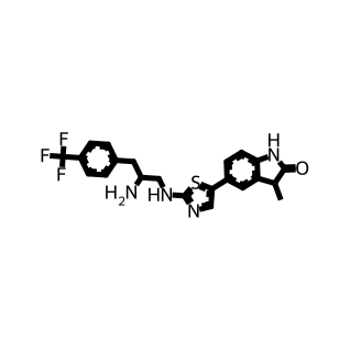 CC1C(=O)Nc2ccc(-c3cnc(NCC(N)Cc4ccc(C(F)(F)F)cc4)s3)cc21